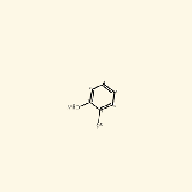 [CH2]Oc1ccccc1C(C)=O